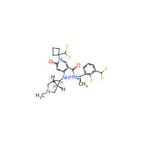 C[C@@H](NC(=O)c1cn(C2(C(F)F)CCC2)c(=O)cc1N[C@H]1[C@@H]2CN(C)C[C@@H]21)c1cccc(C(F)F)c1F